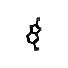 Oc1ccc2nc(Cl)nn2c1